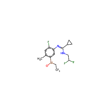 Cc1cc(F)c(/N=C(\NCC(F)F)C2CC2)cc1[S+]([O-])CC(F)(F)F